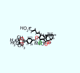 CO[C@@]1(c2ccc(/C=C/C=C/C(=O)O)c(OCc3ccc(B4OC(C)(C)C(C)(C)O4)cc3)c2Cl)OOC12C1CC3CC(C1)CC2C3